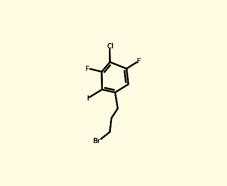 Fc1cc(CCCBr)c(I)c(F)c1Cl